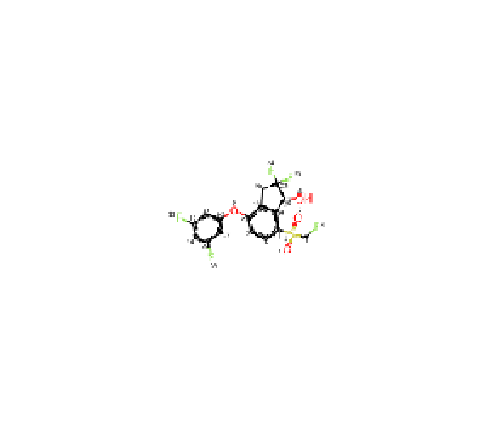 O=S(=O)(CF)c1ccc(Oc2cc(F)cc(F)c2)c2c1[C@H](O)C(F)(F)C2